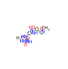 COc1ncccc1-c1ccc(O)c(-c2nc3ccc(C(=O)NC(C)c4n[nH]c(=O)[nH]4)cc3[nH]2)c1